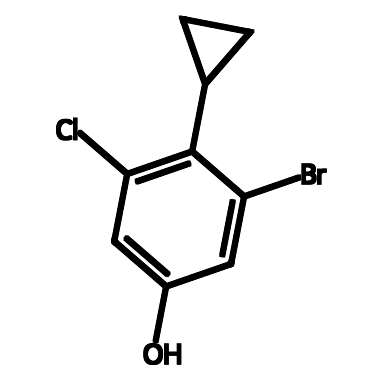 Oc1cc(Cl)c(C2CC2)c(Br)c1